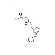 CC(C=C(Cl)Cl)CC(=O)OCc1cccc(Oc2ccccc2)c1